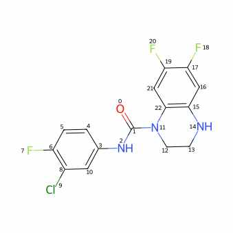 O=C(Nc1ccc(F)c(Cl)c1)N1CCNc2cc(F)c(F)cc21